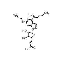 CCCCN(C)c1nc(SCCC)nc2c1nnn2[C@@H]1O[C@H](/C=C/C(=O)O)[C@@H](O)[C@H]1O